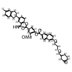 COc1cc(C(=O)Oc2ccc(C3CCc4cc(C)ccc4C3)cc2C=N)ccc1OC(=O)c1ccc2cc(OCCCOCC3CCC4OC4C3)ccc2c1